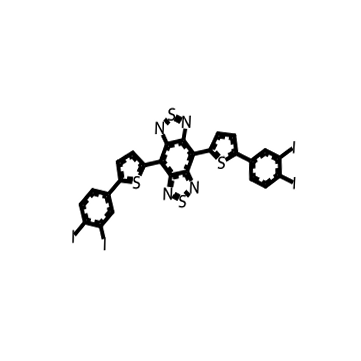 Ic1ccc(-c2ccc(-c3c4c(c(-c5ccc(-c6ccc(I)c(I)c6)s5)c5nsnc35)N=S=N4)s2)cc1I